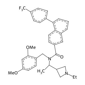 CCN1CC(C(C)N(Cc2ccc(OC)cc2OC)C(=O)c2ccc3c(-c4ccc(C(F)(F)F)cc4)cccc3c2)C1